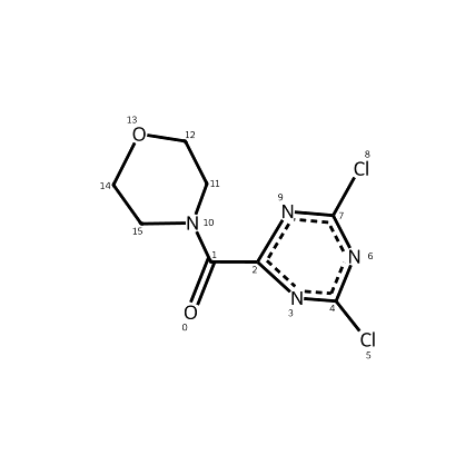 O=C(c1nc(Cl)nc(Cl)n1)N1CCOCC1